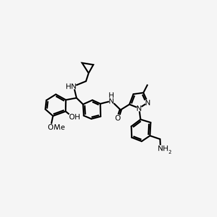 COc1cccc(C(NCC2CC2)c2cccc(NC(=O)c3cc(C)nn3-c3cccc(CN)c3)c2)c1O